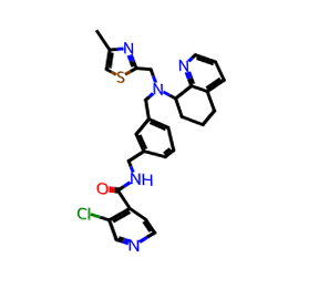 Cc1csc(CN(Cc2cccc(CNC(=O)c3ccncc3Cl)c2)C2CCCc3cccnc32)n1